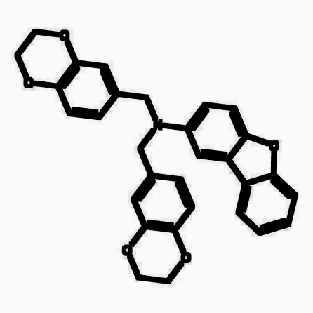 c1ccc2c(c1)oc1ccc(N(Cc3ccc4c(c3)OCCO4)Cc3ccc4c(c3)OCCO4)cc12